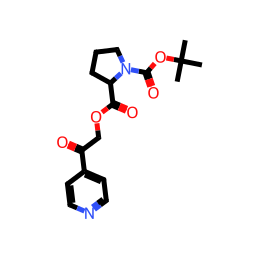 CC(C)(C)OC(=O)N1CCCC1C(=O)OCC(=O)c1ccncc1